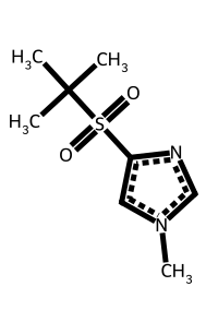 Cn1cnc(S(=O)(=O)C(C)(C)C)c1